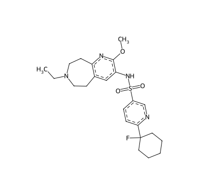 CCN1CCc2cc(NS(=O)(=O)c3ccc(C4(F)CCCCC4)nc3)c(OC)nc2CC1